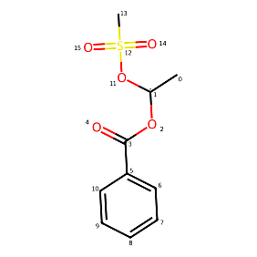 C[C](OC(=O)c1ccccc1)OS(C)(=O)=O